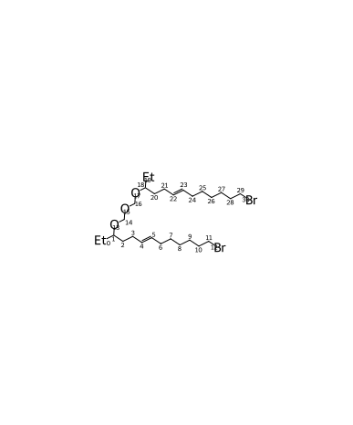 CCC(CCC=CCCCCCCBr)OCOCOC(CC)CCC=CCCCCCCBr